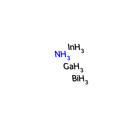 N.[BiH3].[GaH3].[InH3]